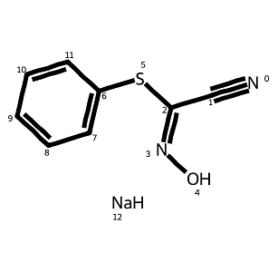 N#CC(=NO)Sc1ccccc1.[NaH]